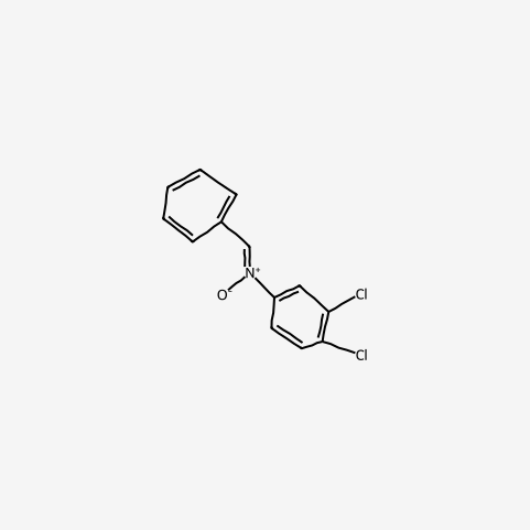 [O-][N+](=Cc1ccccc1)c1ccc(Cl)c(Cl)c1